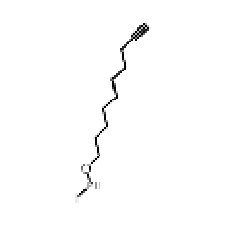 C#CCCCCCCCCOPI